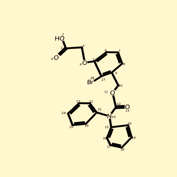 O=C(O)COc1cccc(COC(=O)N(c2ccccc2)c2ccccc2)c1Br